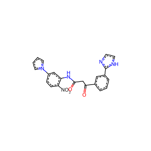 O=C(CC(=O)c1cccc(-c2ncc[nH]2)c1)Nc1cc(-n2cccc2)ccc1[N+](=O)[O-]